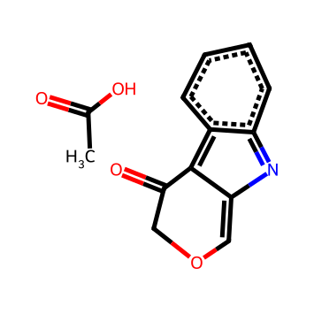 CC(=O)O.O=C1COC=C2N=c3ccccc3=C12